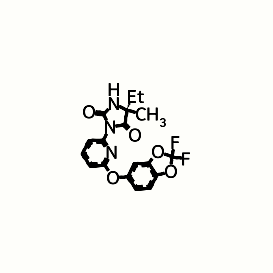 CC[C@@]1(C)NC(=O)N(c2cccc(Oc3ccc4c(c3)OC(F)(F)O4)n2)C1=O